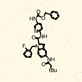 CC(C)(C)CC(=O)Nc1ccc2c(c1)cc(C(=O)Nc1ccc(NC(=O)OCc3ccccc3)cn1)n2Cc1ccccc1F